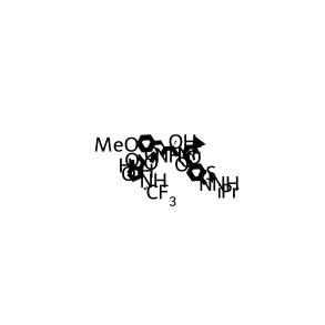 COc1ccc(C[C@H](NC(=O)O[C@H]2CO[C@H]3OC[C@H](NCC(F)(F)F)[C@H]32)[C@H](O)CN(CC2(F)CC2)S(=O)(=O)c2ccc3nc(NC(C)C)sc3c2)cc1